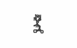 C[C@H](CC(=O)Cl)n1cnnn1